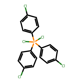 Clc1ccc(P(Cl)(Cl)(c2ccc(Cl)cc2)c2ccc(Cl)cc2)cc1